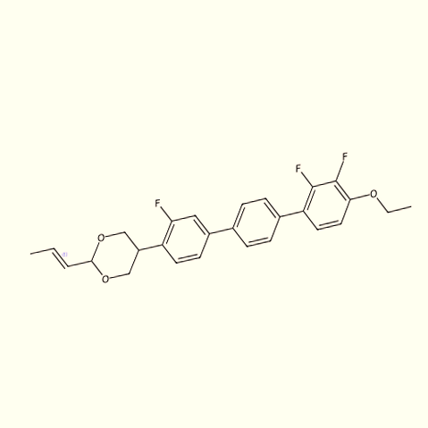 C/C=C/C1OCC(c2ccc(-c3ccc(-c4ccc(OCC)c(F)c4F)cc3)cc2F)CO1